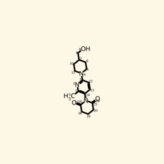 Cc1nc(N2CCC(CO)CC2)ccc1N1C(=O)CCCC1=O